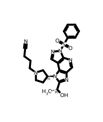 C[C@@H](O)c1nc2cnc3c(cnn3S(=O)(=O)c3ccccc3)c2n1[C@H]1CCN(CCCC#N)C1